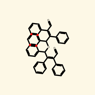 O=CC(=C(c1ccccc1)C(OC(C(=C(C=O)c1ccccc1)c1ccccc1)c1ccccc1)c1ccccc1)c1ccccc1